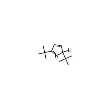 [Li][C]1(C(C)(C)C)C=CC(C(C)(C)C)=N1